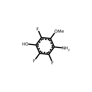 COc1c(N)c(F)c(F)c(O)c1F